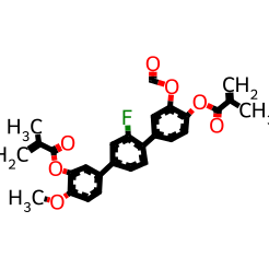 C=C(C)C(=O)Oc1cc(-c2ccc(-c3ccc(OC(=O)C(=C)C)c(OC=O)c3)c(F)c2)ccc1OC